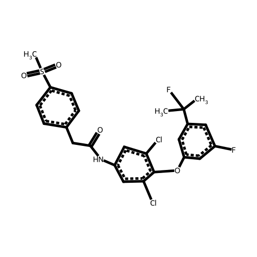 CC(C)(F)c1cc(F)cc(Oc2c(Cl)cc(NC(=O)Cc3ccc(S(C)(=O)=O)cc3)cc2Cl)c1